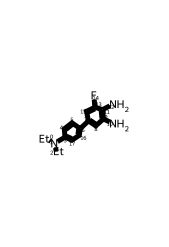 CCN(CC)c1ccc(-c2cc(N)c(N)c(F)c2)cc1